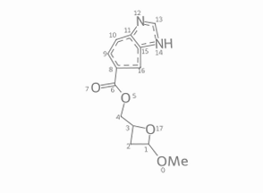 COC1CC(COC(=O)c2ccc3nc[nH]c3c2)O1